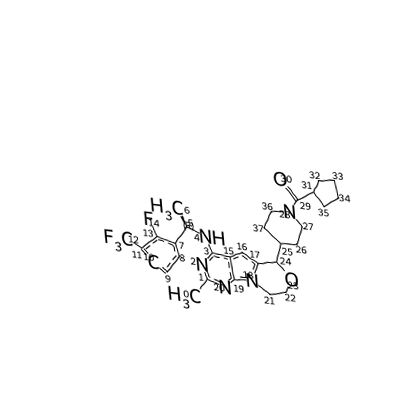 Cc1nc(N[C@H](C)c2cccc(C(F)(F)F)c2F)c2cc3n(c2n1)CCOC3C1CCN(C(=O)C2CCCC2)CC1